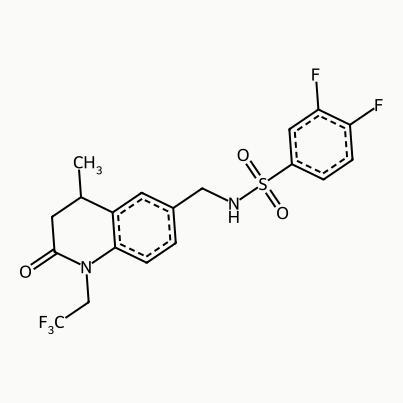 CC1CC(=O)N(CC(F)(F)F)c2ccc(CNS(=O)(=O)c3ccc(F)c(F)c3)cc21